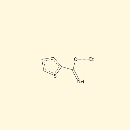 CCOC(=N)c1cccs1